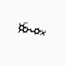 Cc1cc(C)c2ccc(C=Cc3ccc(OC(F)(F)F)cc3)nc2c1O